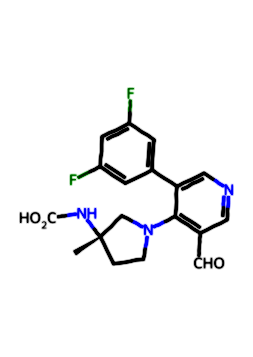 C[C@]1(NC(=O)O)CCN(c2c(C=O)cncc2-c2cc(F)cc(F)c2)C1